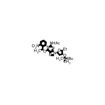 CC[C@H]1O[C@@H](n2cnc3c(OC(C)c4ccccc4[N+](=O)[O-])nc(NC(C)=O)nc32)C[C@H]1O[Si](C)(C)C(C)(C)C